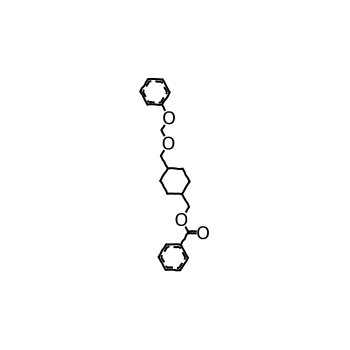 O=C(OCC1CCC(COCOc2ccccc2)CC1)c1ccccc1